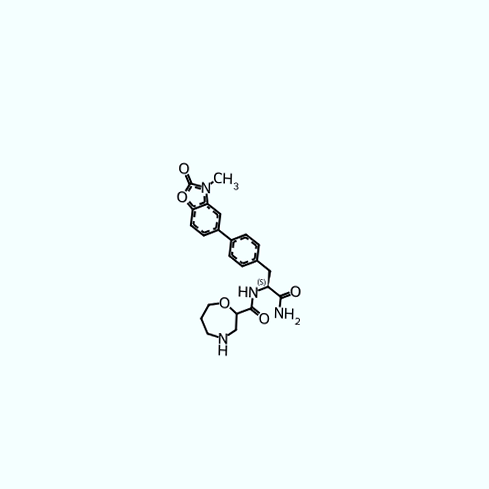 Cn1c(=O)oc2ccc(-c3ccc(C[C@H](NC(=O)C4CNCCCO4)C(N)=O)cc3)cc21